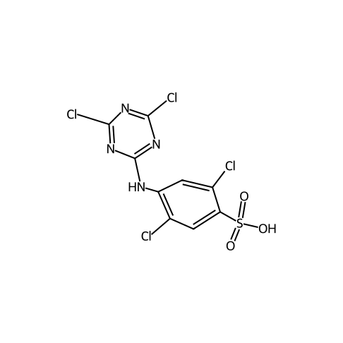 O=S(=O)(O)c1cc(Cl)c(Nc2nc(Cl)nc(Cl)n2)cc1Cl